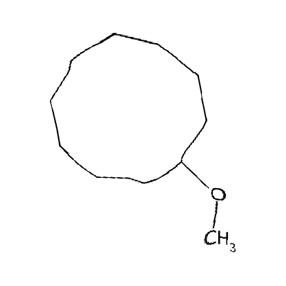 COC1CCCCCCCCC1